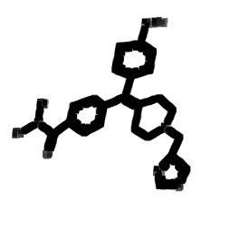 CCN(CC)C(=O)c1ccc(C(=C2CCN(Cc3cscn3)CC2)c2ccc(NC(C)=O)cc2)cc1